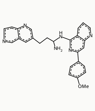 COc1ccc(-c2cc3ncccc3c(NC(N)CCc3cnc4ccncc4c3)n2)cc1